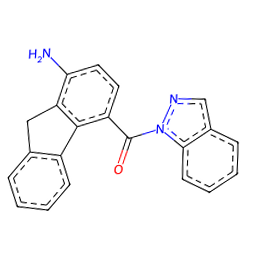 Nc1ccc(C(=O)n2ncc3ccccc32)c2c1Cc1ccccc1-2